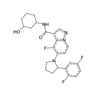 O=C(NC1CCCC(O)C1)c1cnn2ccc(N3CCCC3c3cc(F)ccc3F)c(F)c12